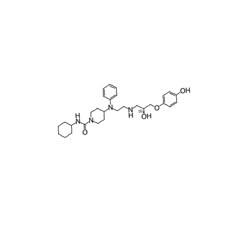 O=C(NC1CCCCC1)N1CCC(N(CCNC[C@H](O)COc2ccc(O)cc2)c2ccccc2)CC1